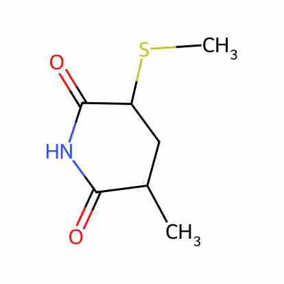 CSC1CC(C)C(=O)NC1=O